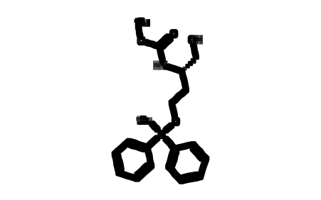 CC(C)(C)OC(=O)N[C@H](CO)CCO[Si](c1ccccc1)(c1ccccc1)C(C)(C)C